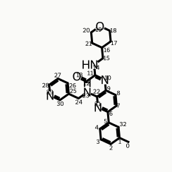 Cc1cccc(-c2ccc(/N=C(\C=O)NCC3CCOCC3)c(NCc3cccnc3)n2)c1